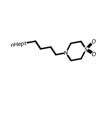 CCCCCCCCCCCN1CCS(=O)(=O)CC1